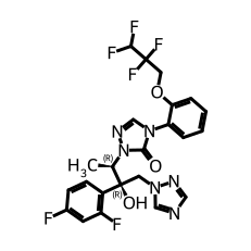 C[C@@H](n1ncn(-c2ccccc2OCC(F)(F)C(F)F)c1=O)[C@](O)(Cn1cncn1)c1ccc(F)cc1F